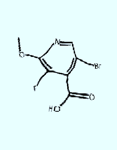 COc1ncc(Br)c(C(=O)O)c1F